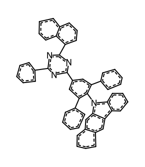 c1ccc(-c2nc(-c3cc(-c4ccccc4)c(-n4c5ccccc5c5cc6ccccc6cc54)c(-c4ccccc4)c3)nc(-c3cccc4ccccc34)n2)cc1